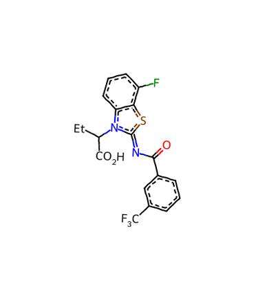 CCC(C(=O)O)n1c(=NC(=O)c2cccc(C(F)(F)F)c2)sc2c(F)cccc21